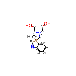 CS1(CN(CCO)CCO)C=Nc2ccccc21